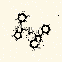 O=C(Nc1c(-c2ccccc2)nn2ccccc12)Nc1c2c(nn1-c1ccccc1)CCC2